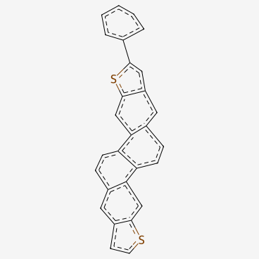 c1ccc(-c2cc3cc4ccc5c6cc7sccc7cc6ccc5c4cc3s2)cc1